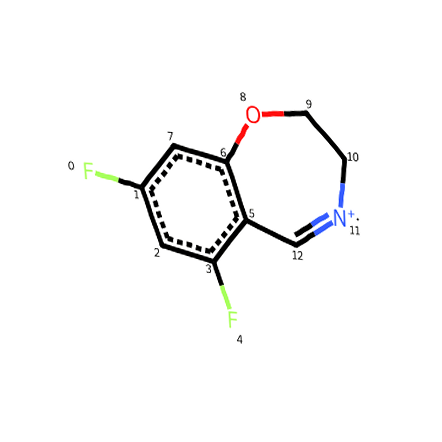 Fc1cc(F)c2c(c1)OCC[N+]=C2